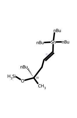 CCCC[C@@](C)(C/C=[CH]/[Sn]([CH2]CCC)([CH2]CCC)[CH2]CCC)O[SiH3]